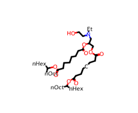 CCCCCCCCC(CCCCCC)OC(=O)CCCCCCC(=O)OCC(CN(CC)CCO)OC(=O)CCCCCCC(=O)OC(CCCCCC)CCCCCCCC